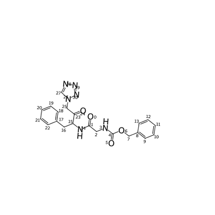 O=C(CNC(=O)OCc1ccccc1)NC(Cc1ccccc1)C(=O)Cn1cnnn1